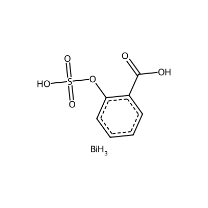 O=C(O)c1ccccc1OS(=O)(=O)O.[BiH3]